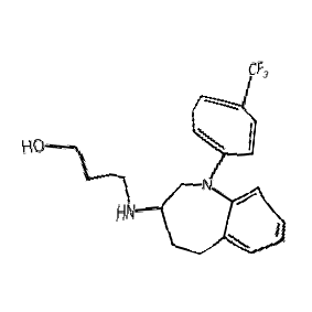 OCCCNC1CCc2ccccc2N(c2ccc(C(F)(F)F)cc2)C1